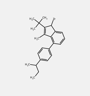 CCC(C)c1ccc(-c2cccc3c2C(C)=C(C(C)(C)C)[CH]3[Zr])cc1